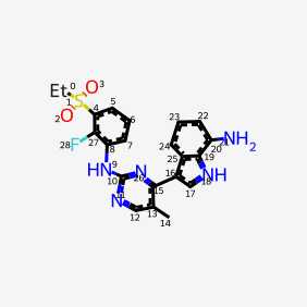 CCS(=O)(=O)c1cccc(Nc2ncc(C)c(-c3c[nH]c4c(N)cccc34)n2)c1F